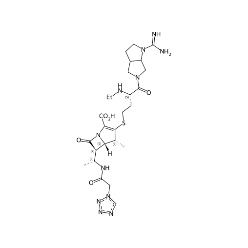 CCN[C@@H](CCSC1=C(C(=O)O)N2C(=O)[C@H]([C@@H](C)NC(=O)Cn3cnnn3)[C@H]2[C@H]1C)C(=O)N1CC2CCN(C(=N)N)C2C1